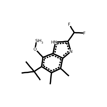 Cc1c(C(C)(C)C)c(O[SiH3])c2[nH]c(C(F)F)nc2c1C